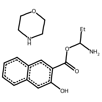 C1COCCN1.CCC(N)OC(=O)c1cc2ccccc2cc1O